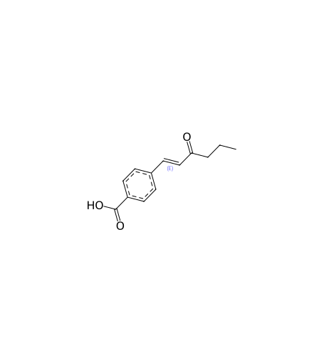 CCCC(=O)/C=C/c1ccc(C(=O)O)cc1